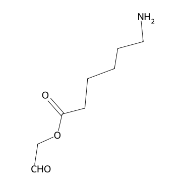 NCCCCCC(=O)OCC=O